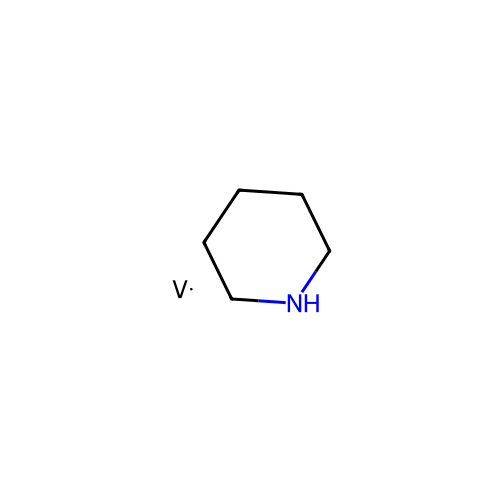 C1CCNCC1.[V]